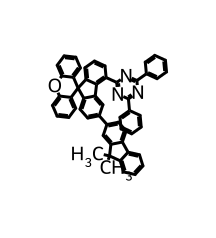 CC1(C)c2ccccc2-c2ccc(-c3ccc4c(c3)-c3c(-c5nc(-c6ccccc6)nc(-c6ccccc6)n5)cccc3C43c4ccccc4Oc4ccccc43)cc21